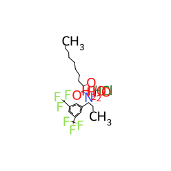 CCCCCCCCC1OCCN(C(CC)c2cc(C(F)(F)F)cc(C(F)(F)F)c2)C1=O.Cl.O.O